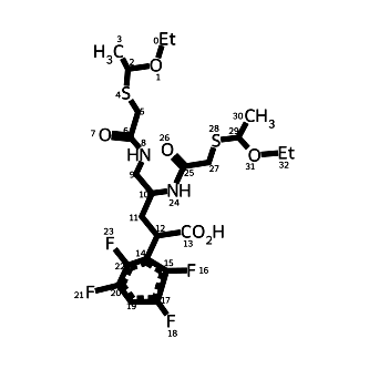 CCOC(C)SCC(=O)NCC(CC(C(=O)O)c1c(F)c(F)cc(F)c1F)NC(=O)CSC(C)OCC